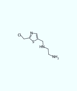 NCCNCc1cnc(CCl)s1